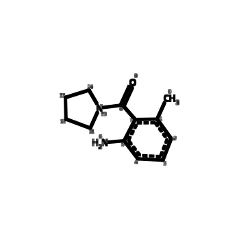 Cc1cccc(N)c1C(=O)N1CCCC1